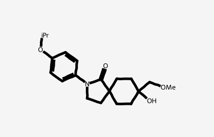 COCC1(O)CCC2(CCN(c3ccc(OC(C)C)cc3)C2=O)CC1